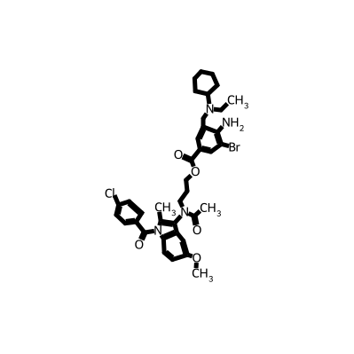 CCN(Cc1cc(C(=O)OCCCN(C(C)=O)c2c(C)n(C(=O)c3ccc(Cl)cc3)c3ccc(OC)cc23)cc(Br)c1N)C1CCCCC1